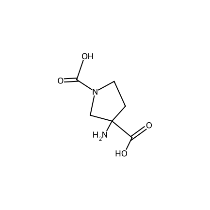 NC1(C(=O)O)CCN(C(=O)O)C1